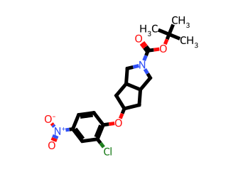 CC(C)(C)OC(=O)N1CC2CC(Oc3ccc([N+](=O)[O-])cc3Cl)CC2C1